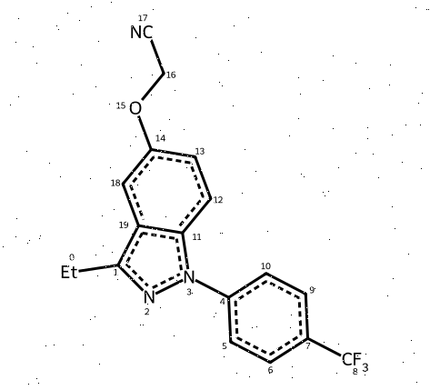 CCc1nn(-c2ccc(C(F)(F)F)cc2)c2ccc(OCC#N)cc12